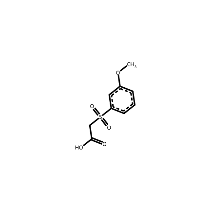 COc1cccc(S(=O)(=O)CC(=O)O)c1